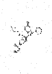 CC(C)(C)OC(=O)N1Cc2nc(-c3nn(C4CCCCO4)c4cc(Br)ccc34)n(COCC[Si](C)(C)C)c2C1